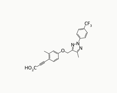 Cc1cc(OCc2nn(-c3ccc(C(F)(F)F)cc3)nc2C)ccc1C#CC(=O)O